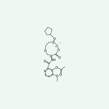 COc1ccnc(C(=O)N[C@H]2COCC[C@@H](OC3CCCC3)[C@H](C)OC2=O)c1OC(C)=O